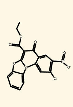 CCOC(=O)c1c(=O)c2cc([N+](=O)[O-])c(Cl)cc2n2c1sc1ccccc12